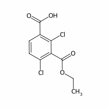 CCOC(=O)c1c(Cl)ccc(C(=O)O)c1Cl